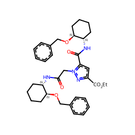 CCOC(=O)c1cc(C(=O)N[C@H]2CCCC[C@@H]2OCc2ccccc2)n(CC(=O)N[C@H]2CCCC[C@@H]2OCc2ccccc2)n1